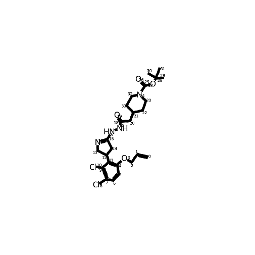 C=CCOc1ccc(Cl)c(Cl)c1C1CN=C(NNC(=O)CC2CCN(C(=O)OC(C)(C)C)CC2)C1